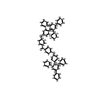 O=C(c1ccc(Oc2ccc(-[n+]3c(-c4ccccc4)cc(-c4ccccc4)cc3-c3ccccc3)cc2)cc1)c1ccc(Oc2ccc(-[n+]3c(-c4ccccc4)cc(-c4ccccc4)cc3-c3ccccc3)cc2)cc1